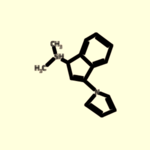 C[SiH](C)C1C=C(n2cccc2)c2ccccc21